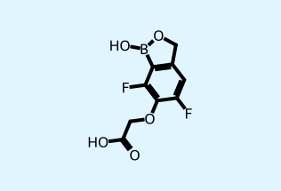 O=C(O)COc1c(F)cc2c(c1F)B(O)OC2